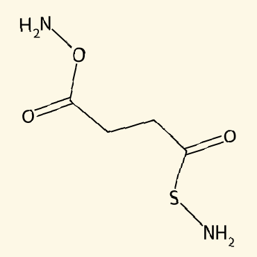 NOC(=O)CCC(=O)SN